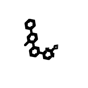 Cc1cc(-c2ccccc2)ccc1-c1cccc(-c2ccnc(Cl)n2)c1